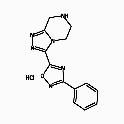 Cl.c1ccc(-c2noc(-c3nnc4n3CCNC4)n2)cc1